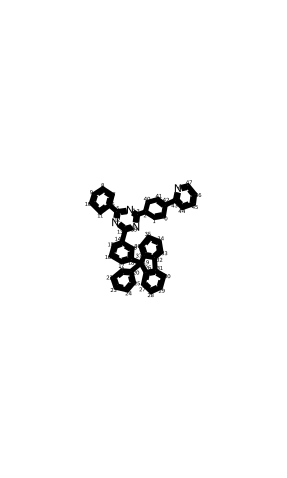 C1=CC(c2nc(-c3ccccc3)nc(-c3cccc(C4(c5ccccc5)c5ccccc5-c5ccccc54)c3)n2)CC=C1c1ccccn1